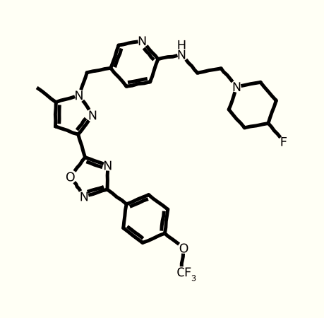 Cc1cc(-c2nc(-c3ccc(OC(F)(F)F)cc3)no2)nn1Cc1ccc(NCCN2CCC(F)CC2)nc1